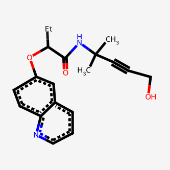 CCC(Oc1ccc2ncccc2c1)C(=O)NC(C)(C)C#CCO